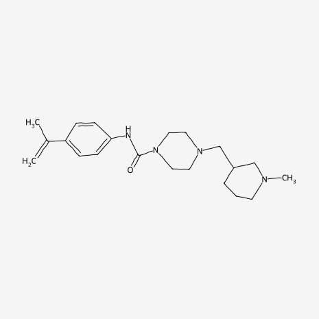 C=C(C)c1ccc(NC(=O)N2CCN(CC3CCCN(C)C3)CC2)cc1